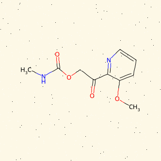 CNC(=O)OCC(=O)c1ncccc1OC